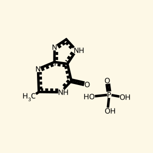 Cc1nc2nc[nH]c2c(=O)[nH]1.O=P(O)(O)O